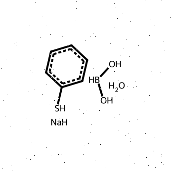 O.OBO.Sc1ccccc1.[NaH]